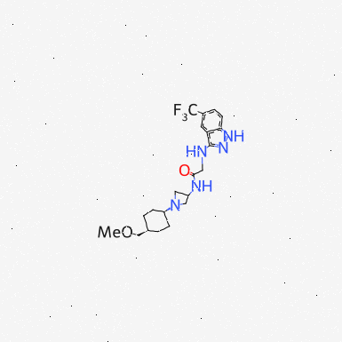 COC[C@H]1CC[C@@H](N2CC(NC(=O)CNc3n[nH]c4ccc(C(F)(F)F)cc34)C2)CC1